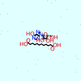 O=C(O)CCCCCCCCCCC(=O)O.OC[C@H]1O[C@@H](n2cnc3c(O)ncnc32)[C@H](O)[C@@H]1O